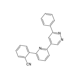 N#Cc1ccccc1-c1cccc(-c2cnnc(-c3ccccc3)c2)n1